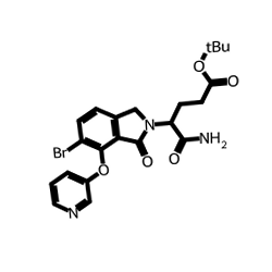 CC(C)(C)OC(=O)CCC(C(N)=O)N1Cc2ccc(Br)c(Oc3cccnc3)c2C1=O